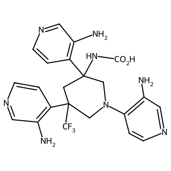 Nc1cnccc1N1CC(NC(=O)O)(c2ccncc2N)CC(c2ccncc2N)(C(F)(F)F)C1